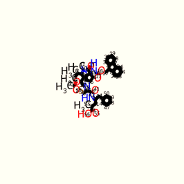 CC(=O)OC(CC(C(C)C)N(C)C(=O)C1(NC(=O)OCC2c3ccccc3-c3ccccc32)CCCC1)c1nc(C(=O)NC(Cc2ccccc2)CC(C)C(=O)O)cs1